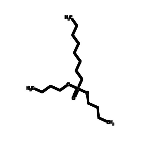 CCCCCCCCP(=O)(OCCCC)OCCCC